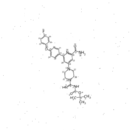 CC(C)(C)OC(=O)NC(=N)N1CCN(c2cc(C(N)=O)nc(-c3ccc(Oc4ccc(F)cc4)cc3)c2)CC1